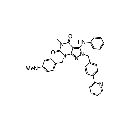 CNc1ccc(Cn2c(=O)n(C)c(=O)c3c(Nc4ccccc4)n(Cc4ccc(-c5ccccn5)cc4)nc32)cc1